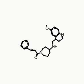 COc1ccc2c(c1)C(CNC1CCCN(C(=O)/C=C/c3ccccc3)CC1)CC=N2